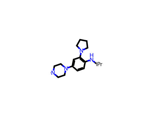 CC(C)Nc1ccc(N2CC[N]CC2)cc1N1CCCC1